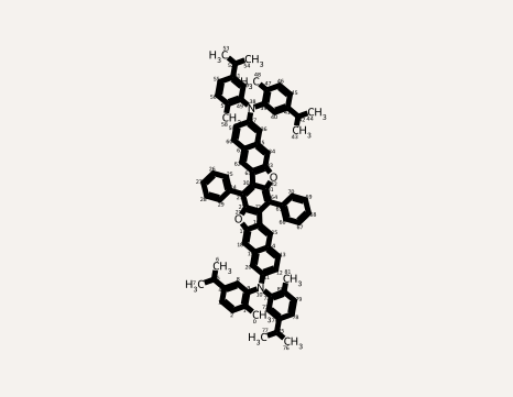 Cc1ccc(C(C)C)cc1N(c1ccc2cc3c(cc2c1)oc1c(-c2ccccc2)c2c(oc4cc5cc(N(c6cc(C(C)C)ccc6C)c6cc(C(C)C)ccc6C)ccc5cc42)c(-c2ccccc2)c13)c1cc(C(C)C)ccc1C